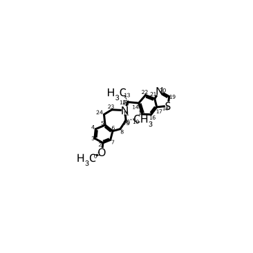 COc1ccc2c(c1)C[C@@H](C)N([C@H](C)c1ccc3scnc3c1)CC2